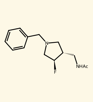 CC(=O)NC[C@H]1CN(Cc2ccccc2)C[C@@H]1F